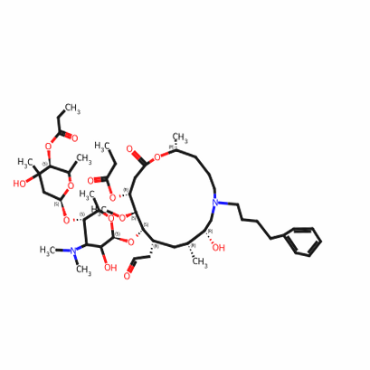 CCC(=O)O[C@@H]1CC(=O)O[C@H](C)CCCN(CCCCc2ccccc2)C[C@H](O)[C@H](C)C[C@H](CC=O)[C@H](O[C@@H]2OC(C)[C@@H](O[C@H]3CC(C)(O)[C@@H](OC(=O)CC)C(C)O3)C(N(C)C)C2O)[C@H]1OC